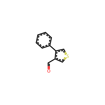 O=Cc1cscc1-c1ccccc1